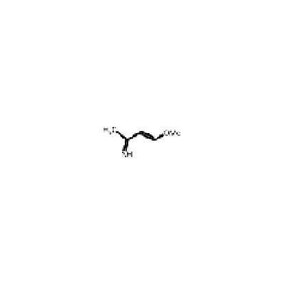 CO/C=C/C(C)=N